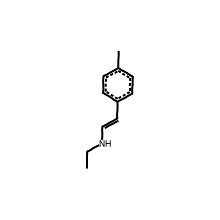 CCNC=Cc1ccc(C)cc1